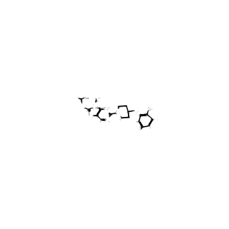 CCC(Sc1nc2cnc(N3CCC(Oc4cc(F)ccc4Br)CC3)nc2n1C)C(=O)O